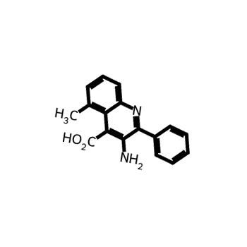 Cc1cccc2nc(-c3ccccc3)c(N)c(C(=O)O)c12